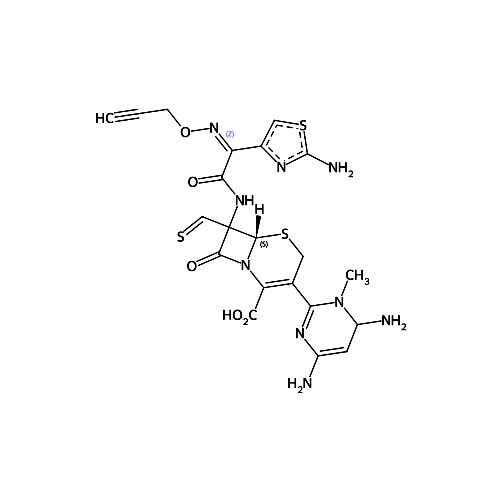 C#CCO/N=C(\C(=O)NC1(C=S)C(=O)N2C(C(=O)O)=C(C3=NC(N)=CC(N)N3C)CS[C@H]21)c1csc(N)n1